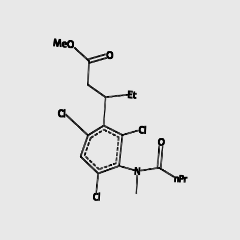 CCCC(=O)N(C)c1c(Cl)cc(Cl)c(C(CC)CC(=O)OC)c1Cl